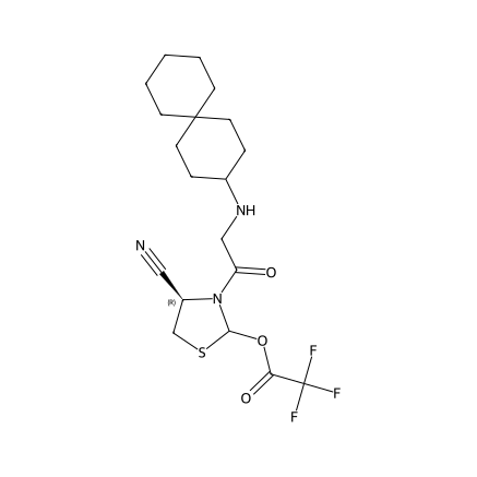 N#C[C@@H]1CSC(OC(=O)C(F)(F)F)N1C(=O)CNC1CCC2(CCCCC2)CC1